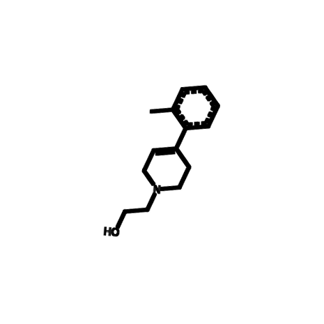 Cc1ccccc1C1=CCN(CCO)CC1